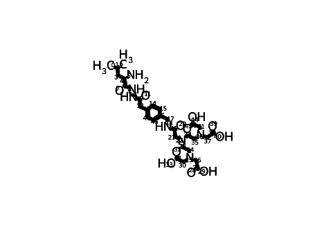 CC(C)C[C@@H](N)C(=O)NNC(=O)Cc1ccc(CNC(=O)CN(CCN(CC(=O)O)CC(=O)O)CCN(CC(=O)O)CC(=O)O)cc1